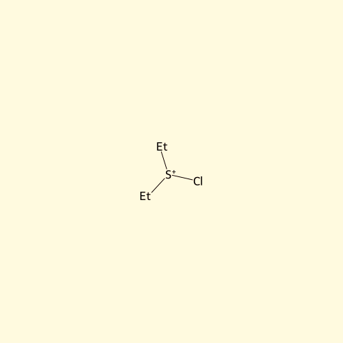 CC[S+](Cl)CC